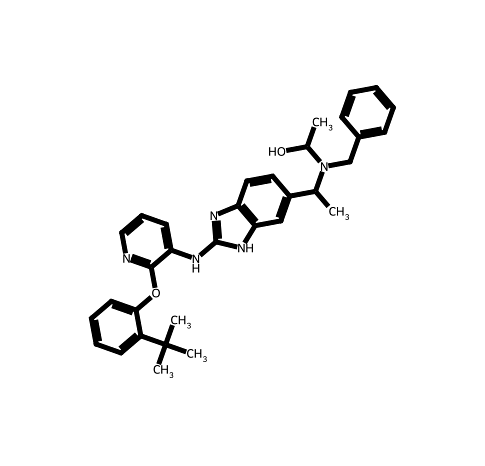 CC(O)N(Cc1ccccc1)C(C)c1ccc2nc(Nc3cccnc3Oc3ccccc3C(C)(C)C)[nH]c2c1